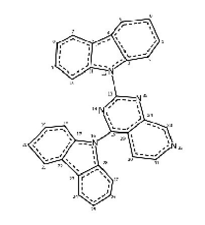 c1ccc2c(c1)c1ccccc1n2-c1nc(-n2c3ccccc3c3ccccc32)c2ccncc2n1